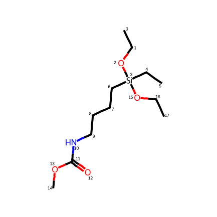 CCO[Si](CC)(CCCCNC(=O)OC)OCC